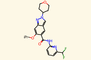 CC(C)Oc1cc2nn(C3CCOCC3)cc2cc1C(=O)Nc1cccc(C(F)F)n1